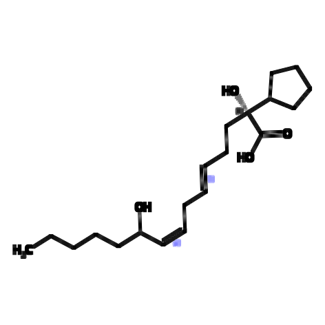 CCCCCC(O)/C=C\C/C=C/CC[C@](O)(C(=O)O)C1CCCC1